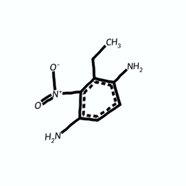 CCc1c(N)ccc(N)c1[N+](=O)[O-]